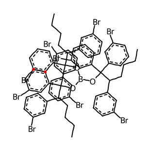 CCCCC(c1cccc(Br)c1)C(OB(OC(c1cccc(Br)c1)(c1cccc(Br)c1)C(CCCC)c1cccc(Br)c1)OC(c1cccc(Br)c1)(c1cccc(Br)c1)C(CCCC)c1cccc(Br)c1)(c1cccc(Br)c1)c1cccc(Br)c1